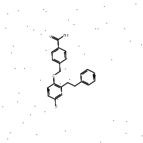 O=C(O)c1ccc(COc2ccc(Br)cc2CCc2ccccc2)cc1